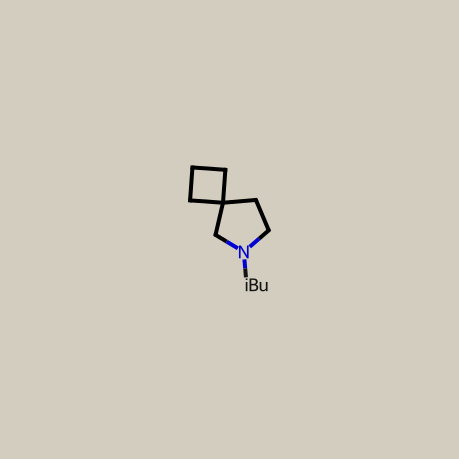 CCC(C)N1CCC2(CCC2)C1